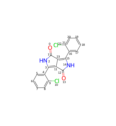 O=C1NC(c2ccccc2Cl)=C2C(=O)NC(c3ccccc3Cl)=C12